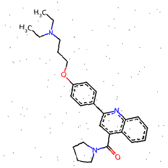 CCN(CC)CCCOc1ccc(-c2cc(C(=O)N3CCCC3)c3ccccc3n2)cc1